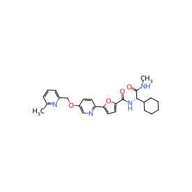 CNC(=O)[C@@H](NC(=O)c1ccc(-c2ccc(OCc3cccc(C)n3)cn2)o1)C1CCCCC1